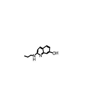 CCCNc1ccc2ccc(O)cc2n1